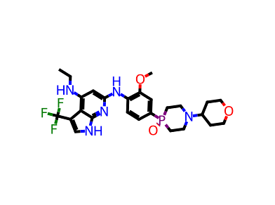 CCNc1cc(Nc2ccc(P3(=O)CCN(C4CCOCC4)CC3)cc2OC)nc2[nH]cc(C(F)(F)F)c12